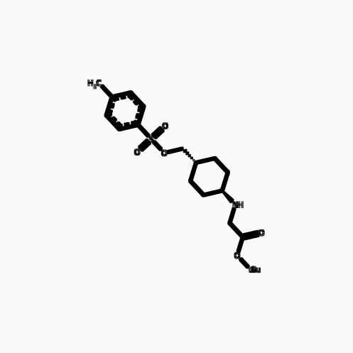 Cc1ccc(S(=O)(=O)OC[C@H]2CC[C@H](NCC(=O)OC(C)(C)C)CC2)cc1